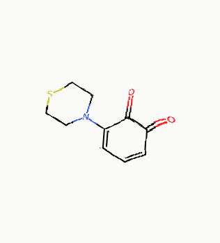 O=C1C=C[C]=C(N2CCSCC2)C1=O